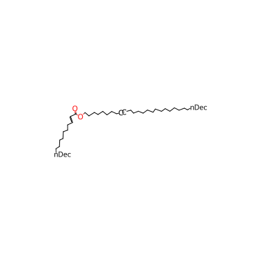 CCCCCCCCCCCCCCCCCC=CC(=O)OCCCCCCCCCCCCCCCCCCCCCCCCCCCCCCCCCC